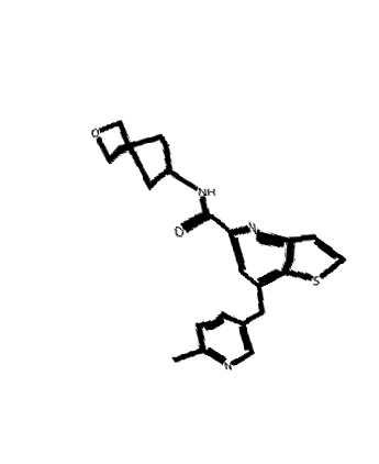 Cc1ccc(Cc2cc(C(=O)NC3CC4(COC4)C3)nc3ccsc23)cn1